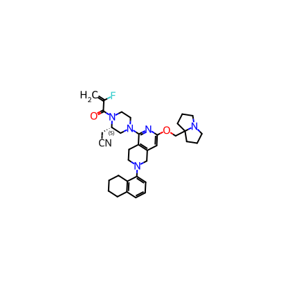 C=C(F)C(=O)N1CCN(c2nc(OCC34CCCN3CCC4)cc3c2CCN(c2cccc4c2CCCC4)C3)C[C@@H]1CC#N